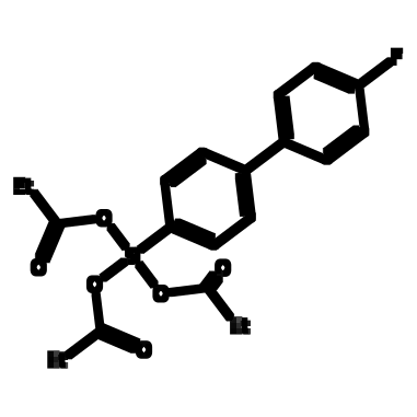 CCC(=O)O[Si](OC(=O)CC)(OC(=O)CC)c1ccc(-c2ccc(F)cc2)cc1